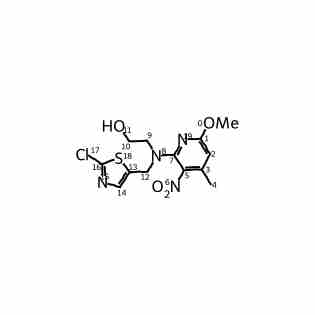 COc1cc(C)c([N+](=O)[O-])c(N(CCO)Cc2cnc(Cl)s2)n1